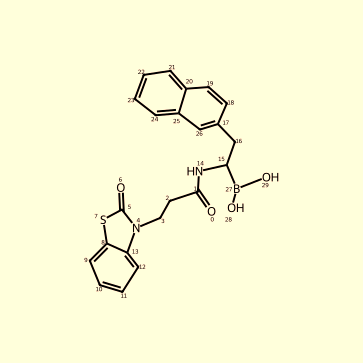 O=C(CCn1c(=O)sc2ccccc21)NC(Cc1ccc2ccccc2c1)B(O)O